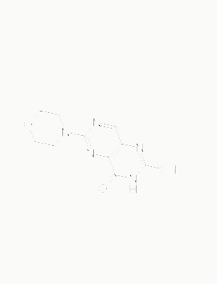 Cc1nc2cnc(N3CCOCC3)nc2c(=O)[nH]1